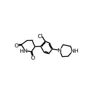 O=C1CCC(c2ccc(N3CCNCC3)cc2Cl)C(=O)N1